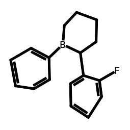 Fc1ccccc1C1CCCCB1c1ccccc1